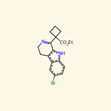 CCOC(=O)C1(C2=NCCc3c2[nH]c2ccc(Br)cc32)CCC1